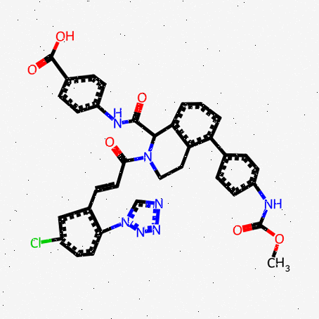 COC(=O)Nc1ccc(-c2cccc3c2CCN(C(=O)/C=C/c2cc(Cl)ccc2-n2cnnn2)C3C(=O)Nc2ccc(C(=O)O)cc2)cc1